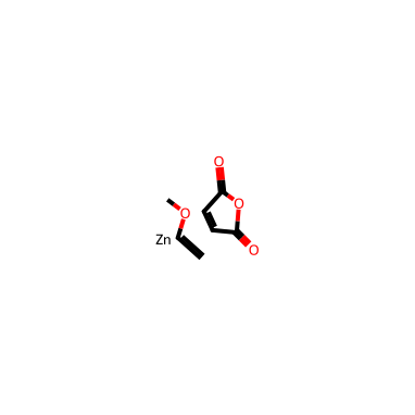 C=COC.O=C1C=CC(=O)O1.[Zn]